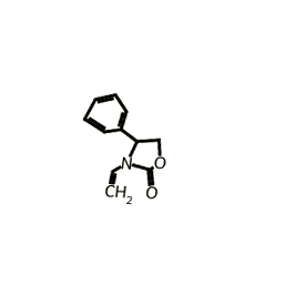 C=CN1C(=O)OCC1c1ccccc1